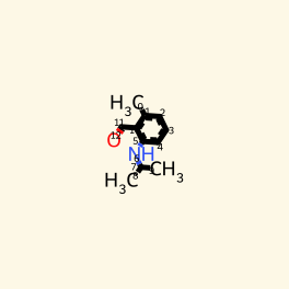 Cc1cccc(NC(C)C)c1C=O